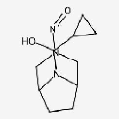 O=NN1CC2CCC(C1)N2C(O)C1CC1